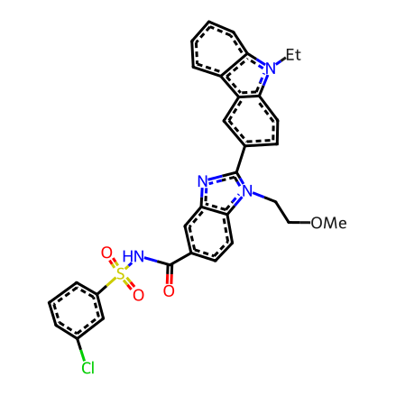 CCn1c2ccccc2c2cc(-c3nc4cc(C(=O)NS(=O)(=O)c5cccc(Cl)c5)ccc4n3CCOC)ccc21